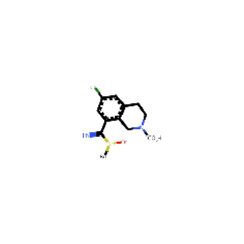 CC(C)(C)[S+]([O-])C(=N)c1cc(Cl)cc2c1CN(C(=O)O)CC2